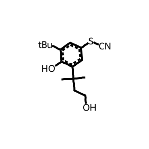 CC(C)(C)c1cc(SC#N)cc(C(C)(C)CCO)c1O